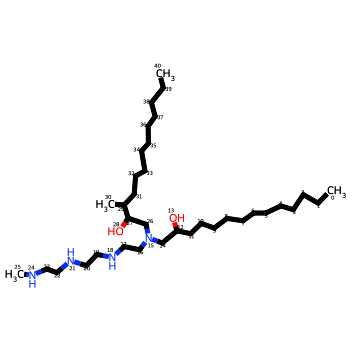 CCCCCCCCCCCCC(O)CN(CCNCCNCCNC)CC(O)C(C)CCCCCCCCCC